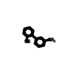 [C-]#[N+]c1ccccc1-c1cccc(C)c1